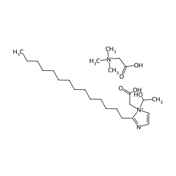 CCCCCCCCCCCCCCC1=NC=C[N+]1(CC(=O)O)C(C)O.C[N+](C)(C)CC(=O)O